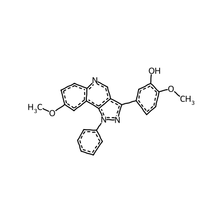 COc1ccc2ncc3c(-c4ccc(OC)c(O)c4)nn(-c4ccccc4)c3c2c1